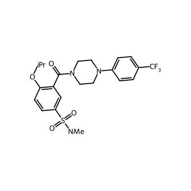 CNS(=O)(=O)c1ccc(OC(C)C)c(C(=O)N2CCN(c3ccc(C(F)(F)F)cc3)CC2)c1